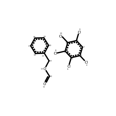 Clc1cc(Cl)c(Cl)c(Cl)c1Cl.O=COCc1ccccc1